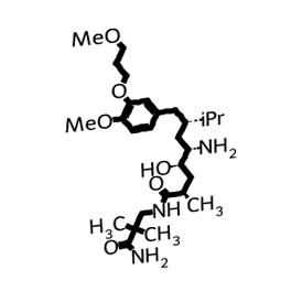 COCCCOc1cc(C[C@@H](C[C@H](N)[C@@H](O)C[C@@H](C)C(=O)NCC(C)(C)C(N)=O)C(C)C)ccc1OC